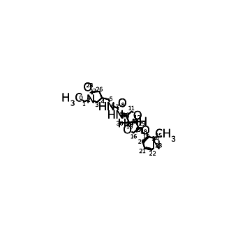 CCN1CC(CNC(=O)N[C@H]2CO[C@H]3[C@@H]2OC[C@@H]3Oc2cccnc2C)CC1=O